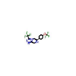 FC(F)(F)Oc1ccc(-c2cn3c(C(F)(F)F)nnc3cn2)cc1